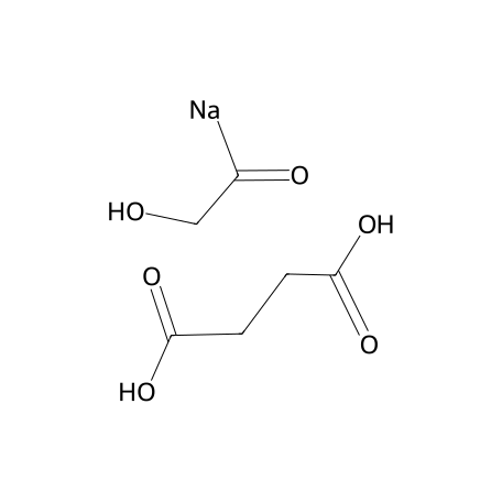 O=C(O)CCC(=O)O.O=[C]([Na])CO